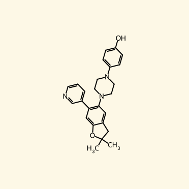 CC1(C)Cc2cc(N3CCN(c4ccc(O)cc4)CC3)c(-c3cccnc3)cc2O1